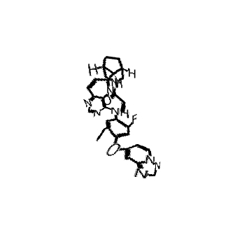 C=CC(=O)N1C[C@H]2CC[C@@H](C1)[C@@H]2c1ccc2ncnc(Nc3cc(C)c(Oc4ccn5ncnc5c4)cc3F)c2n1